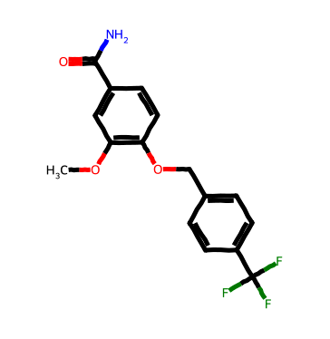 COc1cc(C(N)=O)ccc1OCc1ccc(C(F)(F)F)cc1